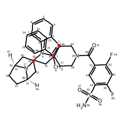 Cc1nc2ccccc2n1C1C[C@H]2CC[C@@H](C1)N2CCC1(c2ccccc2)CCN(C(=O)c2cc(S(N)(=O)=O)c(F)cc2F)CC1